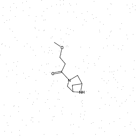 COCCC(=O)N1CC2CC(C1)N2